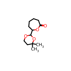 CC1(C)CCOC(C2CCCCC(=O)O2)O1